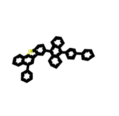 c1ccc(-c2ccc(-c3c4ccccc4c(-c4ccc5sc6c7ccccc7c(-c7ccccc7)cc6c5c4)c4ccccc34)cc2)cc1